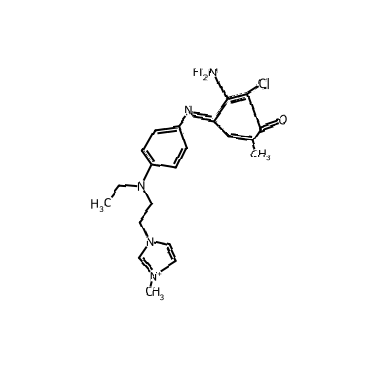 CCN(CCn1cc[n+](C)c1)c1ccc(N=C2C=C(C)C(=O)C(Cl)=C2N)cc1